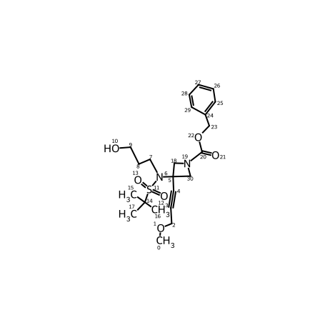 COCC#CC1(N(CCCO)S(=O)(=O)C(C)(C)C)CN(C(=O)OCc2ccccc2)C1